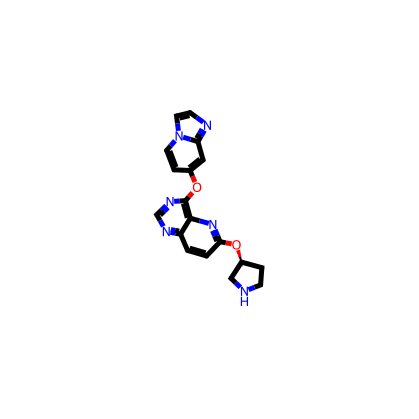 c1nc(Oc2ccn3ccnc3c2)c2nc(O[C@H]3CCNC3)ccc2n1